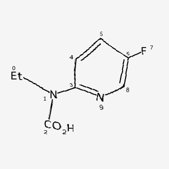 CCN(C(=O)O)c1ccc(F)cn1